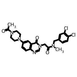 CC(=O)N1CCN(c2ccc3ncn(CC(=O)N(C)Cc4ccc(Cl)c(Cl)c4)c(=O)c3c2)CC1